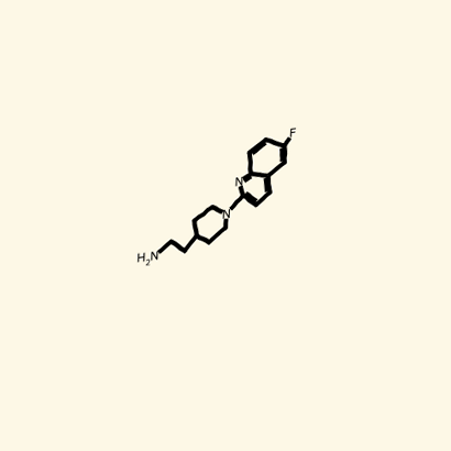 NCCC1CCN(c2ccc3cc(F)ccc3n2)CC1